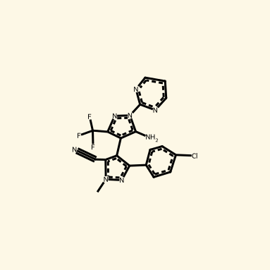 Cn1nc(-c2ccc(Cl)cc2)c(-c2c(C(F)(F)F)nn(-c3ncccn3)c2N)c1C#N